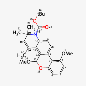 COc1cccc2c1-c1ccc3c(c1C(OC)O2)C(C)=CC(C)(C)N3C(=O)OC(C)(C)C